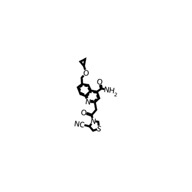 N#CC1CSCN1C(=O)Cc1cc(C(N)=O)c2cc(COC3CC3)ccc2n1